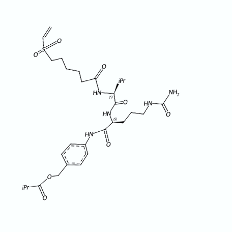 C=CS(=O)(=O)CCCCCC(=O)N[C@H](C(=O)N[C@@H](CCCNC(N)=O)C(=O)Nc1ccc(COC(=O)C(C)C)cc1)C(C)C